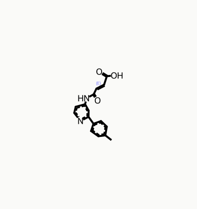 Cc1ccc(-c2cc(NC(=O)/C=C/C(=O)O)ccn2)cc1